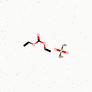 C=COC(=O)OC=C.CCCS(=O)(=O)CCC